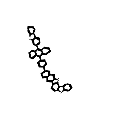 c1ccc2c(c1)oc1cc(-c3c4ccccc4c(-c4ccc(-c5ccc6cc7c(cc6c5)sc5c7ccc6sc7ccccc7c65)cc4)c4ccccc34)ccc12